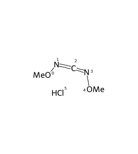 CON=C=NOC.Cl